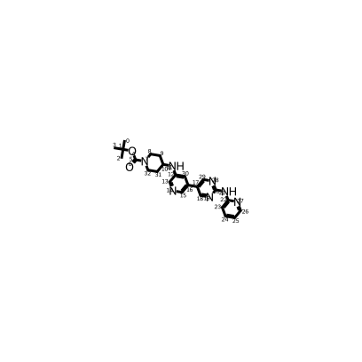 CC(C)(C)OC(=O)N1CCC(Nc2cncc(-c3cnc(Nc4ccccn4)nc3)c2)CC1